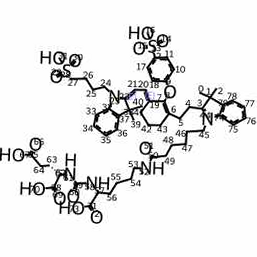 CC1(C)C(CCC2=C(Oc3ccc(S(=O)(=O)O)cc3)/C(=C/C=C3/N(CCCCS(=O)(=O)O)c4ccccc4C3(C)C)CCC2)=[N+](CCCCCC(=O)NCCCCC(NC(=O)N[C@@H](CCC(=O)O)C(=O)O)C(=O)O)c2ccccc21